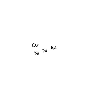 [Au].[Cu].[Ni].[Ni]